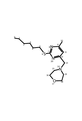 CCCCCCSc1nc(C)cc(CN2CCOCC2)n1